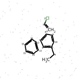 C=CCl.CCc1ccccc1.c1ccccc1